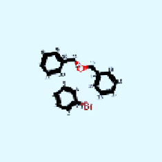 Brc1ccccc1.c1ccc(COCc2ccccc2)cc1